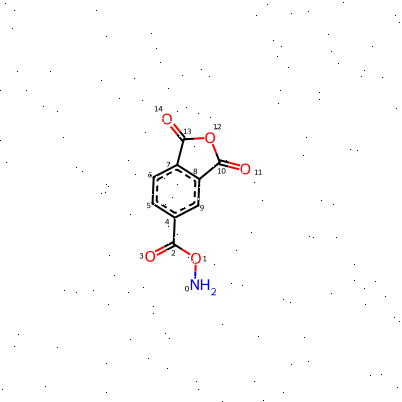 NOC(=O)c1ccc2c(c1)C(=O)OC2=O